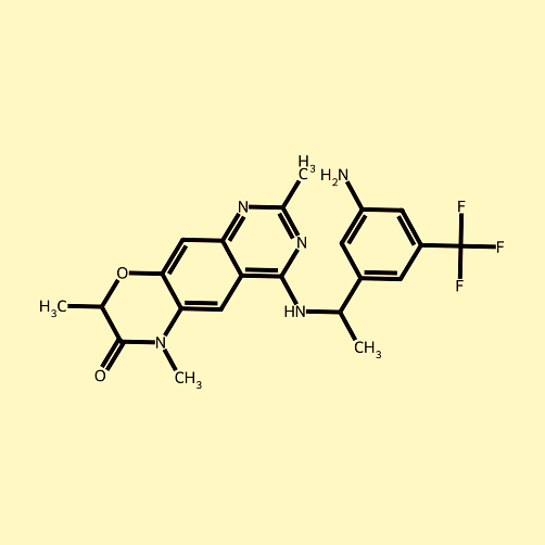 Cc1nc(NC(C)c2cc(N)cc(C(F)(F)F)c2)c2cc3c(cc2n1)OC(C)C(=O)N3C